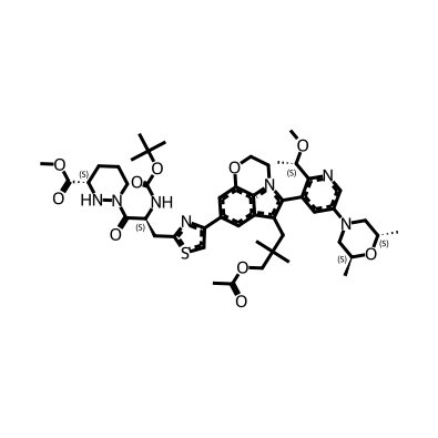 COC(=O)[C@@H]1CCCN(C(=O)[C@H](Cc2nc(-c3cc4c5c(c3)c(CC(C)(C)COC(C)=O)c(-c3cc(N6C[C@H](C)O[C@@H](C)C6)cnc3[C@H](C)OC)n5CCO4)cs2)NC(=O)OC(C)(C)C)N1